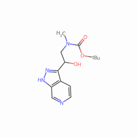 CN(CC(O)c1n[nH]c2cnccc12)C(=O)OC(C)(C)C